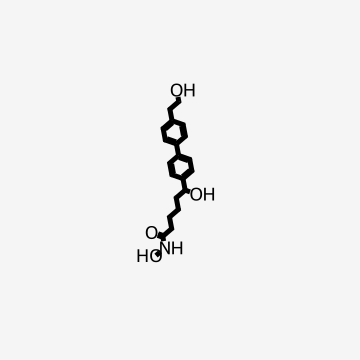 O=C(CCCCC(O)c1ccc(-c2ccc(CCO)cc2)cc1)NO